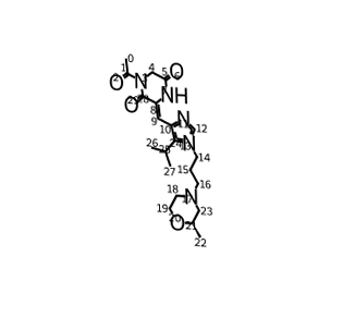 CC(=O)N1CC(=O)N/C(=C\c2ncn(CCCN3CCO[C@H](C)C3)c2C(C)C)C1=O